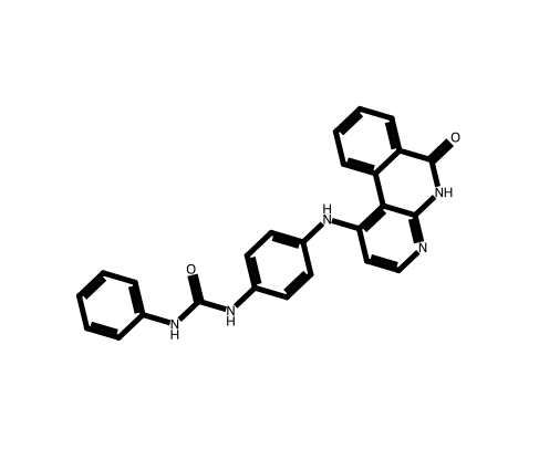 O=C(Nc1ccccc1)Nc1ccc(Nc2ccnc3[nH]c(=O)c4ccccc4c23)cc1